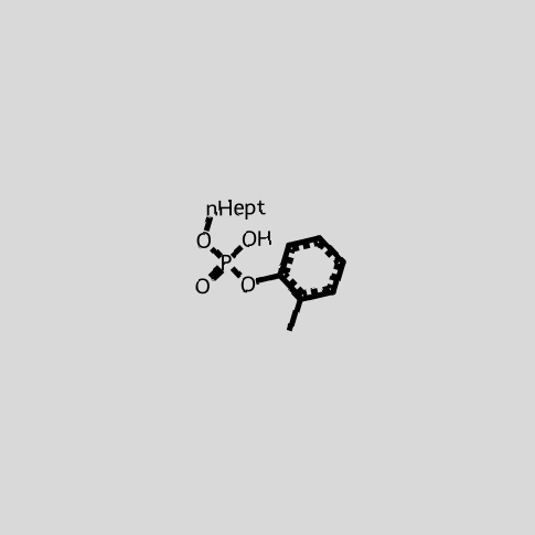 CCCCCCCOP(=O)(O)Oc1ccccc1C